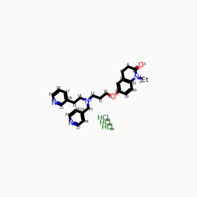 CCN1C(=O)CCc2cc(OCCCN(CCc3cccnc3)Cc3ccncc3)ccc21.Cl.Cl.Cl